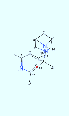 Cc1cc(CN2C3CC2CN(C(C)C)C3)cc(C)n1